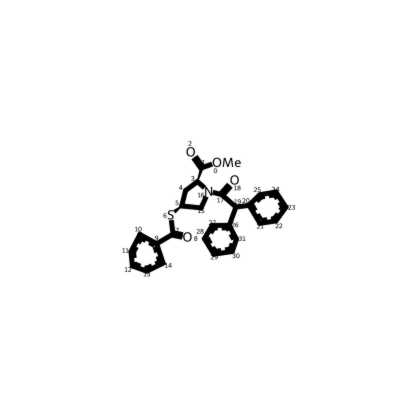 COC(=O)[C@@H]1C[C@H](SC(=O)c2ccccc2)CN1C(=O)C(c1ccccc1)c1ccccc1